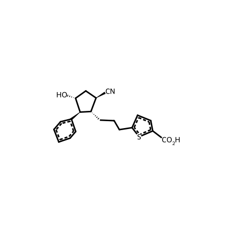 N#C[C@@H]1C[C@@H](O)[C@H](c2ccccc2)[C@H]1CCCc1ccc(C(=O)O)s1